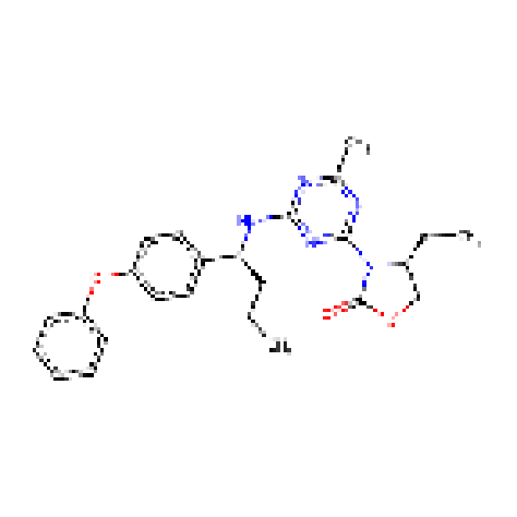 CCC[C@H](Nc1nc(C)nc(N2C(=O)OC[C@@H]2CC)n1)c1ccc(Oc2ccccc2)cc1